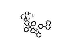 CC1CC=Cc2c1oc1cc(C3(c4ccccc4)c4ccc5c6ccccc6n(-c6cccc(-c7cccc8ccccc78)c6)c5c4C4C=CC=CC43)ccc21